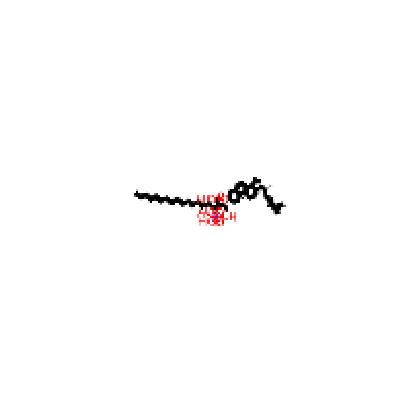 CCCCCCCCCCCCCCCCC(OP(=O)(O)O)(C(=O)O)C(CO)OC1CC[C@@]2(C)C(=CCC3C2CC[C@@]2(C)C3CC[C@@H]2[C@H](C)CCCC(C)C)C1